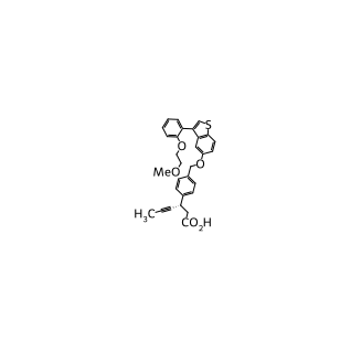 CC#C[C@@H](CC(=O)O)c1ccc(COc2ccc3scc(-c4ccccc4OCCOC)c3c2)cc1